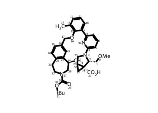 COC[C@H]1N(c2cccc(-c3cccc(C)c3OCc3ccc4c(c3)[C@@H](C)CN(C(=O)OC(C)(C)C)CC4)n2)CC2C[C@@]21C(=O)O